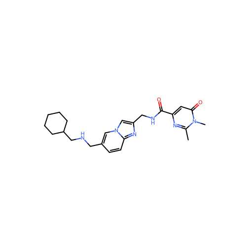 Cc1nc(C(=O)NCc2cn3cc(CNCC4CCCCC4)ccc3n2)cc(=O)n1C